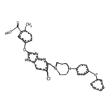 Cc1ccc(Oc2nc3nc(N4CCN(c5ccc(Oc6ccccc6)cc5)CC4)c(Cl)cc3[nH]2)cc1C(=O)O